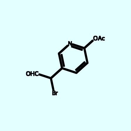 CC(=O)Oc1ccc(C(Br)C=O)cn1